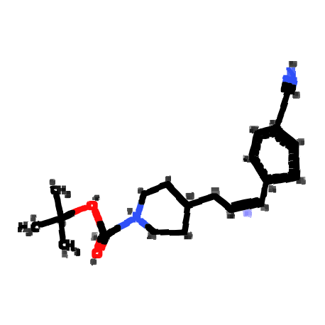 CC(C)(C)OC(=O)N1CCC(C/C=C\c2ccc(C#N)cc2)CC1